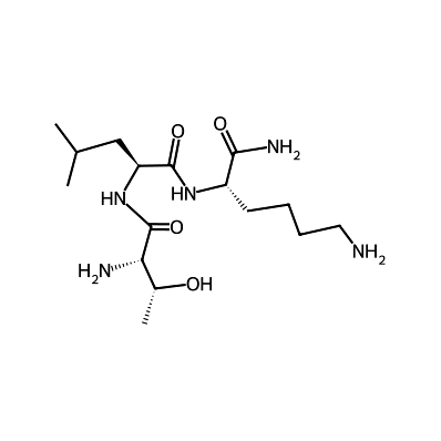 CC(C)C[C@H](NC(=O)[C@@H](N)[C@@H](C)O)C(=O)N[C@@H](CCCCN)C(N)=O